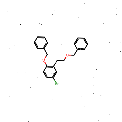 Brc1ccc(OCc2ccccc2)c(CCOCc2ccccc2)c1